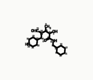 CC(C(O)C(=O)NCC1CCCCC1)N(C=O)CC1CCNCC1